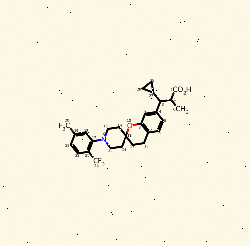 CC(C(=O)O)C(c1ccc2c(c1)OC1(CC2)CCN(c2cc(C(F)(F)F)ccc2C(F)(F)F)CC1)C1CC1